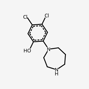 Oc1cc(Cl)c(Cl)cc1N1CCCNCC1